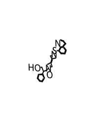 O=C(C(CO)c1ccccc1)N1CC(=C2CN(Sc3cccc4cccnc34)C2)C1